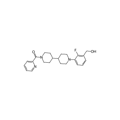 O=C(c1ccccn1)N1CCC(C2CCN(c3cccc(CO)c3F)CC2)CC1